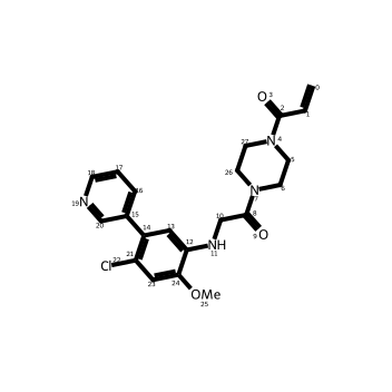 C=CC(=O)N1CCN(C(=O)CNc2cc(-c3cccnc3)c(Cl)cc2OC)CC1